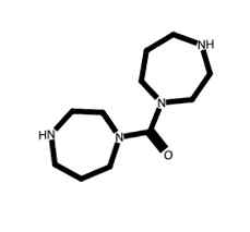 O=C(N1CCCNCC1)N1CCCNCC1